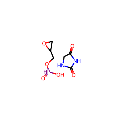 O=C1CNC(=O)N1.O=[PH](O)OCC1CO1